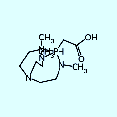 CN1CCN2CCN(C)[PH]1(CC(=O)O)N(C)CC2